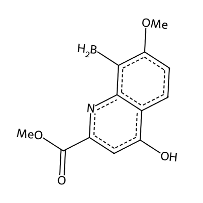 Bc1c(OC)ccc2c(O)cc(C(=O)OC)nc12